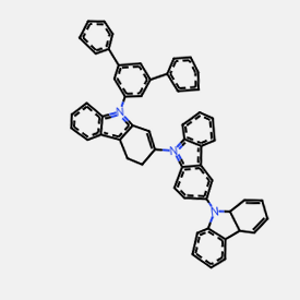 C1=CC2c3ccccc3N(c3ccc4c(c3)c3ccccc3n4C3=Cc4c(c5ccccc5n4-c4cc(-c5ccccc5)cc(-c5ccccc5)c4)CC3)C2C=C1